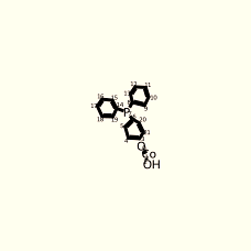 [O]=[Co][OH].c1ccc(P(c2ccccc2)c2ccccc2)cc1